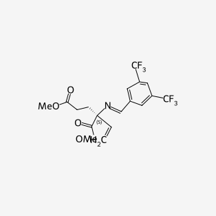 C=C[C@](CCC(=O)OC)(N=Cc1cc(C(F)(F)F)cc(C(F)(F)F)c1)C(=O)OC